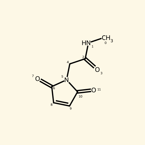 CNC(=O)CN1C(=O)C=CC1=O